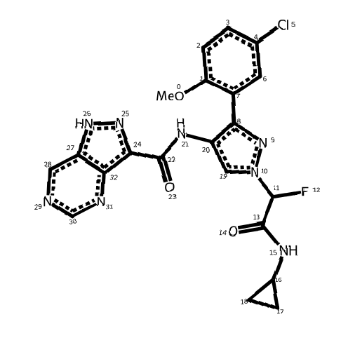 COc1ccc(Cl)cc1-c1nn(C(F)C(=O)NC2CC2)cc1NC(=O)c1n[nH]c2cncnc12